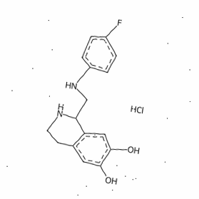 Cl.Oc1cc2c(cc1O)C(CNc1ccc(F)cc1)NCC2